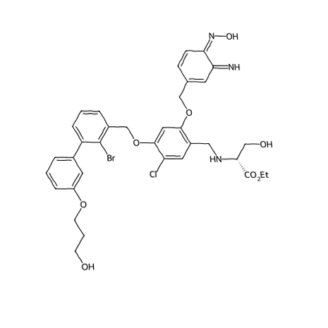 CCOC(=O)[C@@H](CO)NCc1cc(Cl)c(OCc2cccc(-c3cccc(OCCCO)c3)c2Br)cc1OCC1=CC(=N)/C(=N\O)C=C1